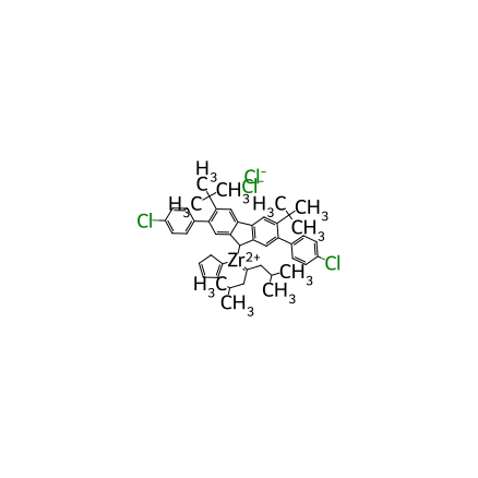 CC(C)C[C](CC(C)C)=[Zr+2]([C]1=CC=CC1)[CH]1c2cc(-c3ccc(Cl)cc3)c(C(C)(C)C)cc2-c2cc(C(C)(C)C)c(-c3ccc(Cl)cc3)cc21.[Cl-].[Cl-]